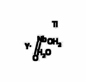 O.O.[O]=[Nb].[Ti].[Y]